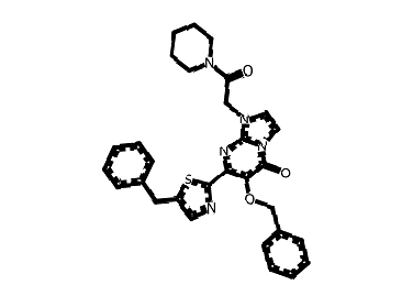 O=C(Cn1ccn2c(=O)c(OCc3ccccc3)c(-c3ncc(Cc4ccccc4)s3)nc12)N1CCCCC1